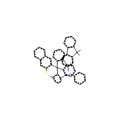 CC1(C)c2ccccc2-c2ccc(N(c3ccccc3)c3cccc4c3C3(c5cc6ccccc6cc5S4)c4ccccc4-c4ccccc43)cc21